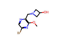 COc1nc(Br)cnc1CN1CC(O)C1